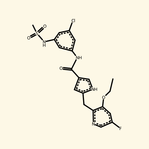 CCOc1cc(F)cnc1Cc1cc(C(=O)Nc2cc(Cl)cc(NS(C)(=O)=O)c2)c[nH]1